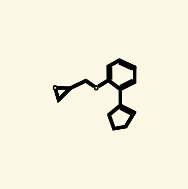 C1=C(c2ccccc2OCC2CO2)CCC1